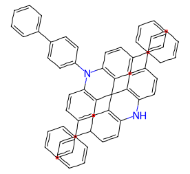 C1=CCC(c2ccc3c(c2)C2(C4=C(C=CC(c5ccccc5)C4)Nc4ccc(-c5ccccc5)cc42)c2cc(-c4ccccc4)ccc2N3c2ccc(-c3ccccc3)cc2)C=C1